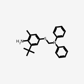 Cc1cc(SCN(c2ccccc2)c2ccccc2)cc(C(C)(C)C)c1N